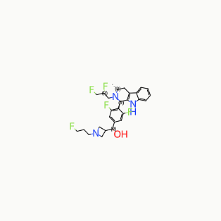 C[C@@H]1Cc2c([nH]c3ccccc23)[C@@H](c2c(F)cc([C@H](O)C3CN(CCCF)C3)cc2F)N1C[C@@H](F)CF